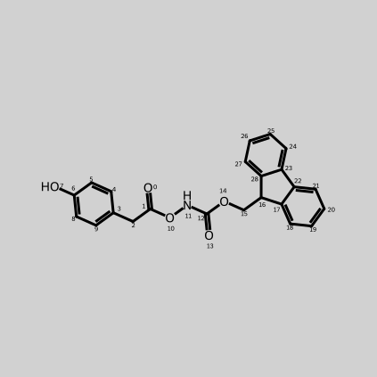 O=C(Cc1ccc(O)cc1)ONC(=O)OCC1c2ccccc2-c2ccccc21